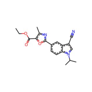 CCOC(=O)c1oc(-c2ccc3c(c2)c(C#N)cn3C(C)C)nc1C